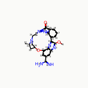 COc1nc2cc(C(=N)N)cc3c2nc1-c1cccc2c(=O)n([nH]c12)CCN1CC(C[C@H]1C)O3